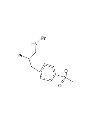 CC(C)NCC(Cc1ccc(S(C)(=O)=O)cc1)C(C)C